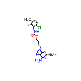 CNc1nc(N)c2ncn(CCCCOC(=O)NCc3c(Cl)ccc(C)c3F)c2n1